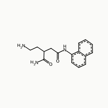 NCCC(CC(=O)Nc1cccc2ccccc12)C(N)=O